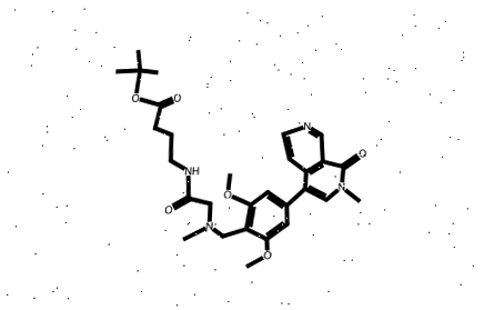 COc1cc(-c2cn(C)c(=O)c3cnccc23)cc(OC)c1CN(C)CC(=O)NCCCC(=O)OC(C)(C)C